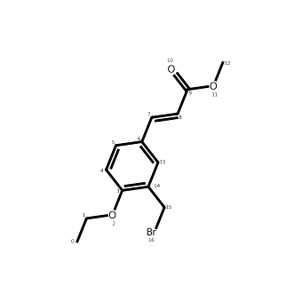 CCOc1ccc(C=CC(=O)OC)cc1CBr